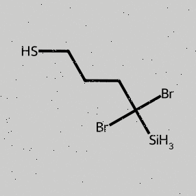 [SiH3]C(Br)(Br)CCCS